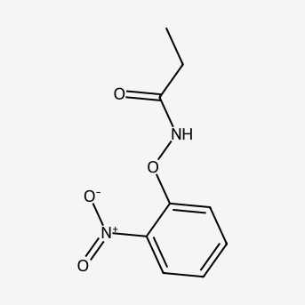 CCC(=O)NOc1ccccc1[N+](=O)[O-]